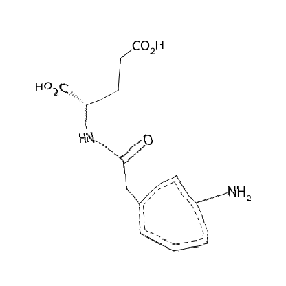 Nc1cccc(CC(=O)N[C@@H](CCC(=O)O)C(=O)O)c1